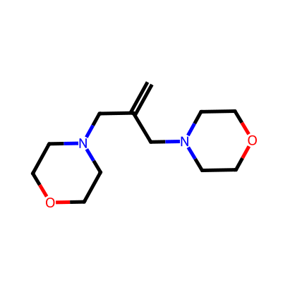 C=C(CN1CCOCC1)CN1CCOCC1